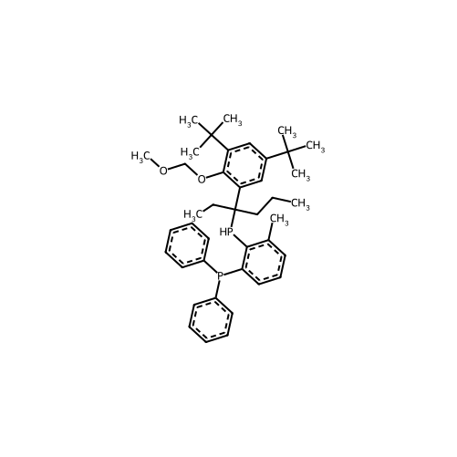 CCCC(CC)(Pc1c(C)cccc1P(c1ccccc1)c1ccccc1)c1cc(C(C)(C)C)cc(C(C)(C)C)c1OCOC